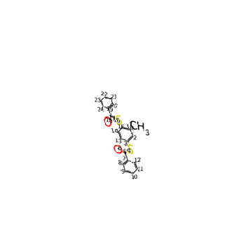 Cc1cc(SC(=O)c2ccccc2)ccc1SC(=O)c1ccccc1